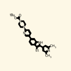 CCc1c(-c2cc(C)nc(C)c2)[nH]c2cc(-c3ccc(N4CCN(C(=O)OC(C)(C)C)CC4)nc3)ccc12